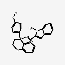 Cn1c(C(=O)N[C@]2(c3ccc(OC(F)(F)F)cc3)CCOc3cccnc32)cc2ccccc21